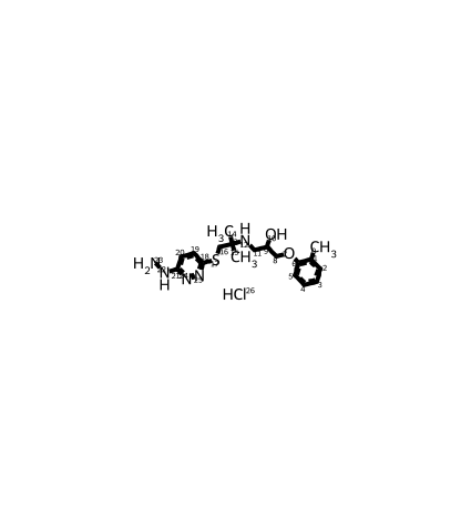 Cc1ccccc1OCC(O)CNC(C)(C)CSc1ccc(NN)nn1.Cl